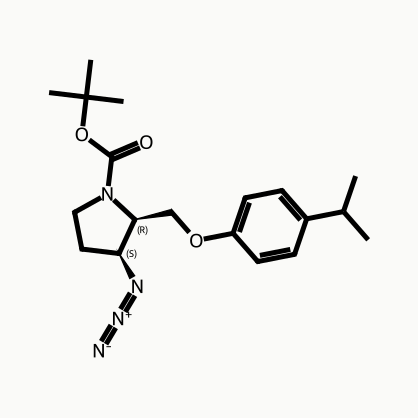 CC(C)c1ccc(OC[C@H]2[C@@H](N=[N+]=[N-])CCN2C(=O)OC(C)(C)C)cc1